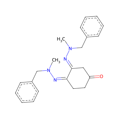 CN(Cc1ccccc1)N=C1CCC(=O)CC1=NN(C)Cc1ccccc1